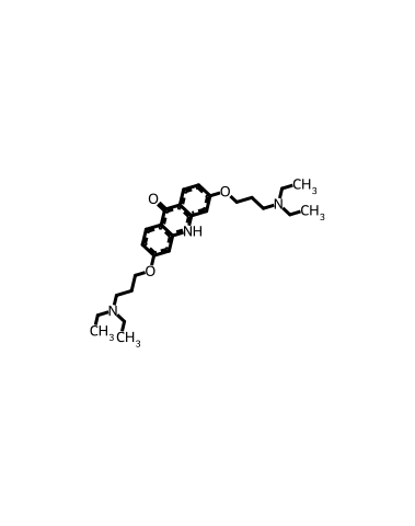 CCN(CC)CCCOc1ccc2c(=O)c3ccc(OCCCN(CC)CC)cc3[nH]c2c1